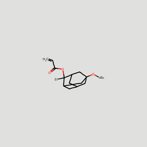 C=CC(=O)OC1(CC)C2CC3CC1CC(OCCCC)(C3)C2